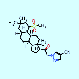 CC1(C)CC(S(C)(=O)=O)[C@H]2[C@H](CC[C@@H]3[C@@H]2CC[C@]2(C)[C@@H](C(=O)Cn4cc(C#N)cn4)CC[C@@H]32)C1